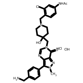 CC(=O)Nc1ccc(CN2CCC(O)(Cn3cnc4c(-c5ccc(CN)cc5)n(C)nc4c3=O)CC2)c(Cl)c1.Cl.Cl